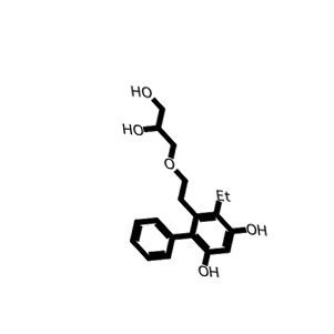 CCc1c(O)cc(O)c(-c2ccccc2)c1CCOCC(O)CO